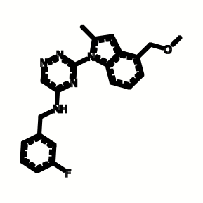 COCc1cccc2c1cc(C)n2-c1nncc(NCc2cccc(F)c2)n1